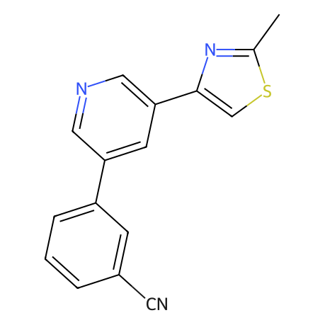 Cc1nc(-c2cncc(-c3cccc(C#N)c3)c2)cs1